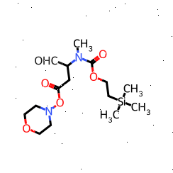 CN(C(=O)OCC[Si](C)(C)C)C(C=O)CC(=O)ON1CCOCC1